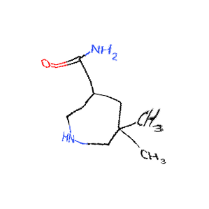 CC1(C)CNCC(C(N)=O)C1